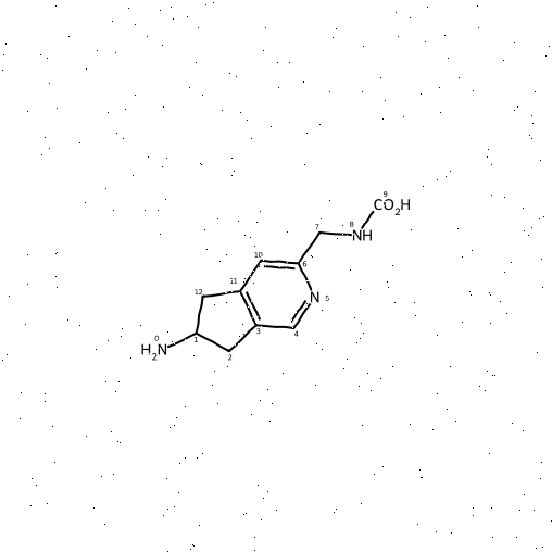 NC1Cc2cnc(CNC(=O)O)cc2C1